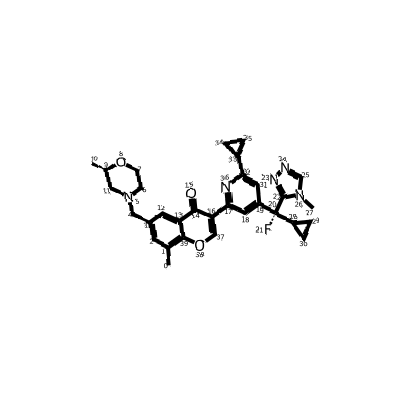 Cc1cc(CN2CCO[C@H](C)C2)cc2c(=O)c(-c3cc([C@@](F)(c4nncn4C)C4CC4)cc(C4CC4)n3)coc12